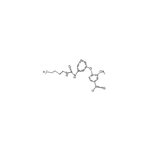 CCCCCNC(=O)Nc1cccc(Oc2ccc([N+](=O)[O-])cc2C)c1